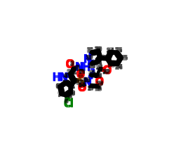 NC(=O)c1[nH]c2ccc(Cl)cc2c1S(=O)(=O)N1CCO[C@H](COc2ccccc2-c2ccncc2)C1